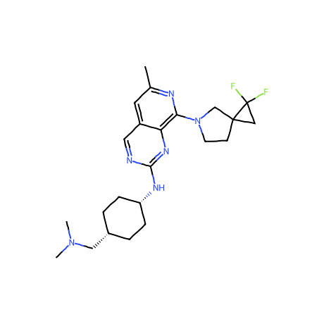 Cc1cc2cnc(N[C@H]3CC[C@@H](CN(C)C)CC3)nc2c(N2CCC3(C2)CC3(F)F)n1